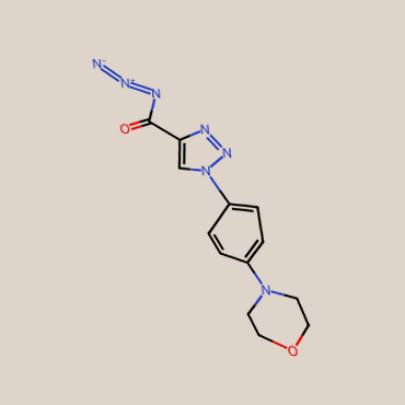 [N-]=[N+]=NC(=O)c1cn(-c2ccc(N3CCOCC3)cc2)nn1